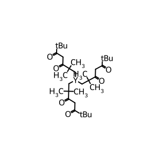 CC(C)(C)C(=O)CC(=O)C(C)(C)[CH2][Y]([CH2]C(C)(C)C(=O)CC(=O)C(C)(C)C)[CH2]C(C)(C)C(=O)CC(=O)C(C)(C)C